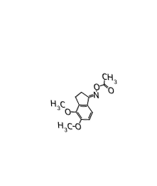 COc1ccc2c(c1OC)CC/C2=N\OC(C)=O